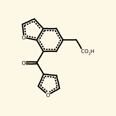 O=C(O)Cc1cc(C(=O)c2ccoc2)c2occc2c1